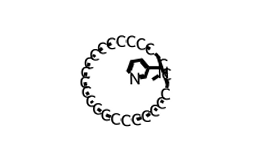 CN1C2CCCCCCCCCCCCCCCCCCCCCC(CC2)C1c1cccnc1